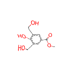 COC(=O)c1cc(CO)c(O)c(CO)c1